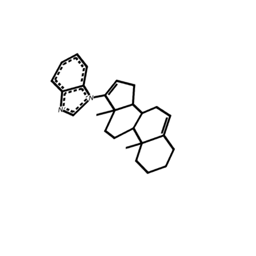 CC12CCCCC1=CCC1C2CCC2(C)C(n3cnc4ccccc43)=CCC12